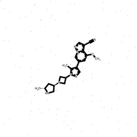 COc1cc(-c2cnn(C3CN([C@H]4CN[C@H](C)C4)C3)c2C)cn2ncc(C#N)c12